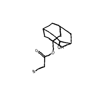 O=C(CBr)OC12CC3CC(C1)C(O)C(C3)C2